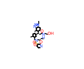 CC[C@@H]1CN(Cc2cc([C@H](CC(=O)NCCO)c3ccc4c(nnn4CC)c3C)ccc2C)S(=O)(=O)c2cccnc2O1